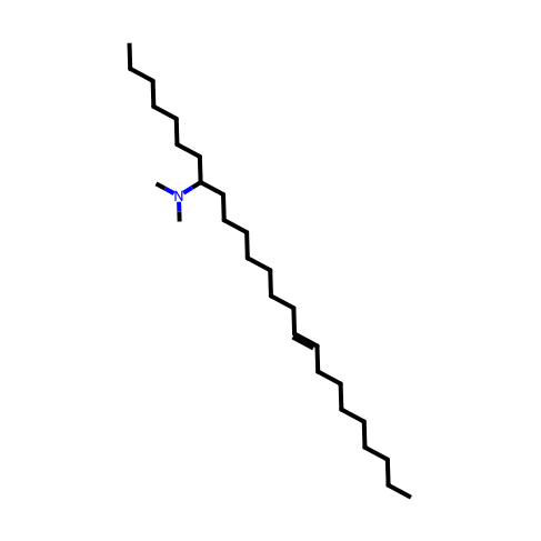 CCCCCCCCC=CCCCCCCCC(CCCCCCC)N(C)C